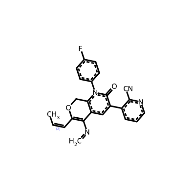 C=NC1=C(/C=C\C)OCc2c1cc(-c1cccnc1C#N)c(=O)n2-c1ccc(F)cc1